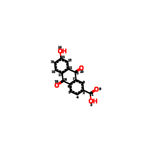 O=C(O)c1ccc2c(c1)C(=O)c1cc(O)ccc1C2=O